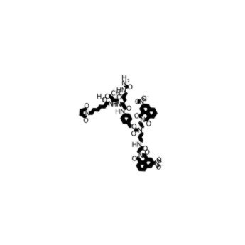 CC(C)[C@H](NC(=O)CCCCCN1C(=O)C=CC1=O)C(=O)N[C@@H](CCCNC(N)=O)C(=O)Nc1ccc(COC(=O)N(CCCNC(=O)CN2C(=O)c3cccc4cc([N+](=O)[O-])cc(c34)C2=O)CCN2C(=O)c3cccc4cc([N+](=O)[O-])cc(c34)C2=O)cc1